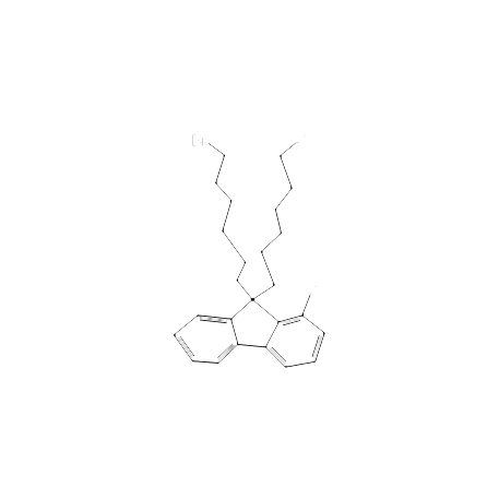 BrCCCCCCC1(CCCCCCBr)c2ccccc2-c2cccc(Br)c21